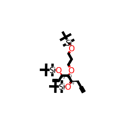 C#CC[C@@H](O[Si](C)(C)C(C)(C)C)[C@H](OCCCO[Si](C)(C)C(C)(C)C)[C@@H](C=C)O[Si](C)(C)C(C)(C)C